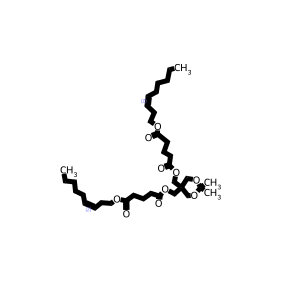 CCCCC/C=C\CCOC(=O)CCCC(=O)OCC1(COC(=O)CCCC(=O)OCC/C=C\CCCCC)COC(C)(C)OC1